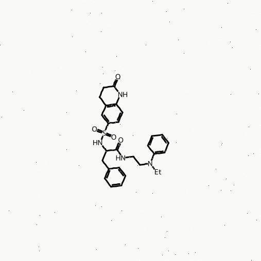 CCN(CCNC(=O)C(Cc1ccccc1)NS(=O)(=O)c1ccc2c(c1)CCC(=O)N2)c1ccccc1